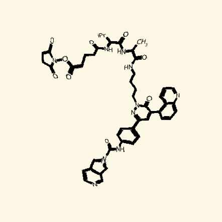 CC(NC(=O)C(NC(=O)CCCC(=O)ON1C(=O)CCC1=O)C(C)C)C(=O)NCCCCn1nc(-c2ccc(NC(=O)N3Cc4ccncc4C3)cc2)cc(-c2cccc3ncccc23)c1=O